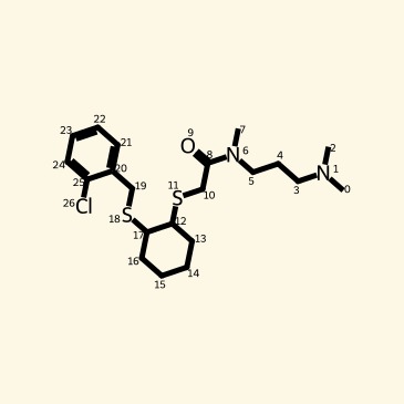 CN(C)CCCN(C)C(=O)CSC1CCCCC1SCc1ccccc1Cl